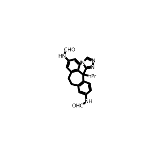 CCCC1(c2nnc[nH]2)c2ccc(NC=O)cc2CCc2cc(NC=O)ccc21